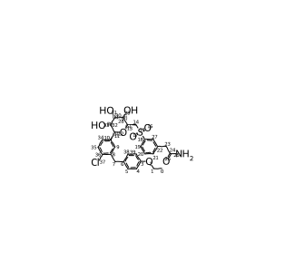 CCOc1ccc(Cc2cc([C@@H]3O[C@H](CS(=O)(=O)c4cccc(CC(N)=O)c4)[C@H](O)[C@@H](O)[C@H]3O)ccc2Cl)cc1